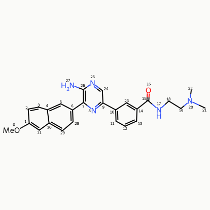 COc1ccc2cc(-c3nc(-c4cccc(C(=O)NCCN(C)C)c4)cnc3N)ccc2c1